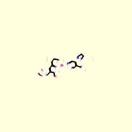 CO[C@H]1CCN(c2cc(NC(=O)N3CCCc4cc(CN5C(C)COC5C)c(C=O)nc43)ncc2C#N)C1